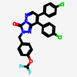 O=c1n(Cc2ccc(OC(F)F)cc2)nc2c(-c3ccc(Cl)cc3)c(-c3ccc(Cl)cc3)cnn12